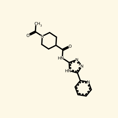 CC(=O)N1CCC(C(=O)Nc2nnc(-c3ccccn3)[nH]2)CC1